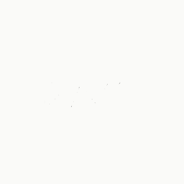 C[C@@]1(C=O)CC[C@]2(F)C3CC[C@@]4(C)C(CC[C@@H]4C(=O)CBr)[C@@H]3CC[C@@H]2C1